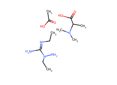 CC(=O)O.CC(C(=O)O)N(C)C.CCN=C(N)N(N)CC